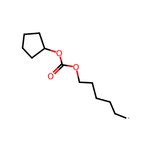 [CH2]CCCCCOC(=O)OC1CCCC1